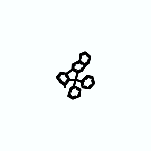 [c]1cccc2c1C(c1ccccc1)(c1ccccc1)c1cc3ccccc3cc1-2